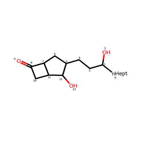 CCCCCCCC(O)CCC1CC2C(=O)CC2C1O